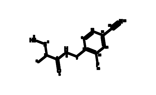 CC(SS)C(=O)NCc1ccc(C#N)cc1F